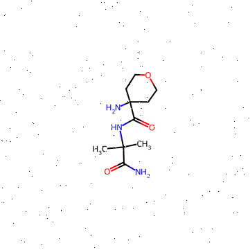 CC(C)(NC(=O)C1(N)CCOCC1)C(N)=O